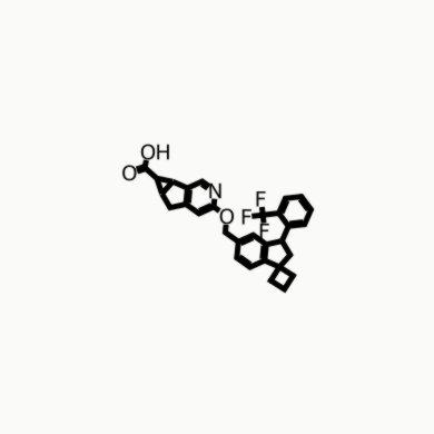 O=C(O)C1C2Cc3cc(OCc4ccc5c(c4)C(c4ccccc4C(F)(F)F)CC54CCC4)ncc3C21